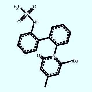 CCCCc1cc(C)cc(=O)n1-c1ccccc1-c1ccccc1NS(=O)(=O)C(F)(F)F